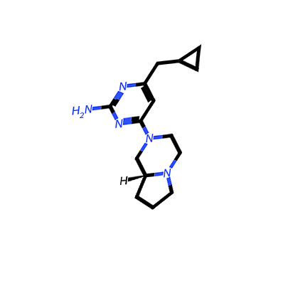 Nc1nc(CC2CC2)cc(N2CCN3CCC[C@@H]3C2)n1